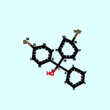 OC(c1ccccc1)(c1ccc(Br)cc1)c1ccc(Br)cc1